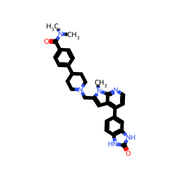 CN(C)C(=O)c1ccc(C2CCN(Cc3cc4c(-c5ccc6[nH]c(=O)[nH]c6c5)ccnc4n3C)CC2)cc1